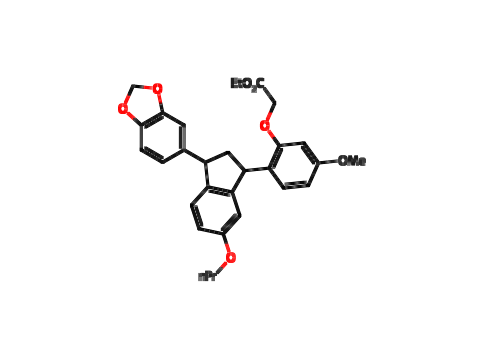 CCCOc1ccc2c(c1)C(c1ccc(OC)cc1OCC(=O)OCC)CC2c1ccc2c(c1)OCO2